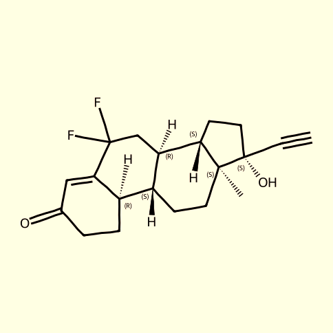 C#C[C@]1(O)CC[C@H]2[C@@H]3CC(F)(F)C4=CC(=O)CC[C@@H]4[C@H]3CC[C@@]21C